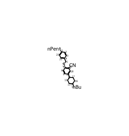 CCCCCc1ccc(CSc2ccc(C3CCC(CCCC)CC3)cc2C#N)cc1